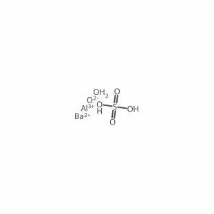 O.O=S(=O)(O)O.[Al+3].[Ba+2].[O-2]